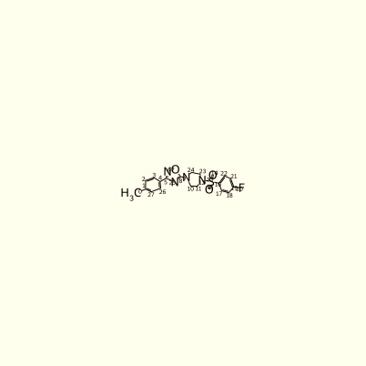 Cc1ccc(-c2noc(N3CCN(S(=O)(=O)c4ccc(F)cc4)CC3)n2)cc1